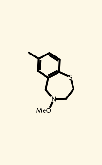 CON1CCSc2ccc(C)cc2C1